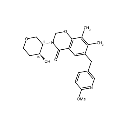 COc1ccc(Cc2cc3c(c(C)c2C)OCN([C@H]2COCC[C@@H]2O)C3=O)cn1